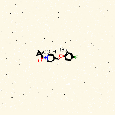 CC(C)(C)c1cc(F)ccc1OCC1CCN(C(=O)C2(C(=O)O)CC2)CC1